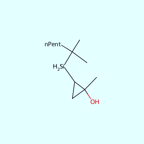 CCCCCC(C)(C)[SiH2]C1CC1(C)O